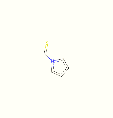 S=Cn1cccc1